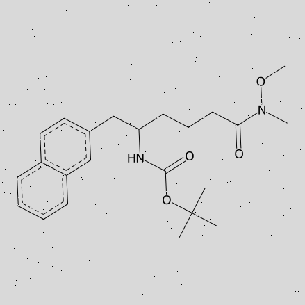 CON(C)C(=O)CCCC(Cc1ccc2ccccc2c1)NC(=O)OC(C)(C)C